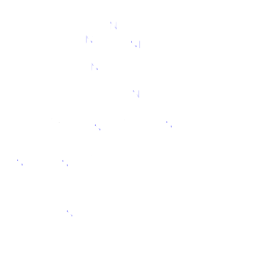 CCCCc1nc2cccnc2n1-c1ccc2nc(-c3ccc(C)cc3)n(-c3nnn[nH]3)c2n1